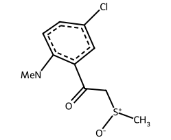 CNc1ccc(Cl)cc1C(=O)C[S+](C)[O-]